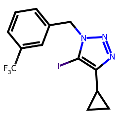 FC(F)(F)c1cccc(Cn2nnc(C3CC3)c2I)c1